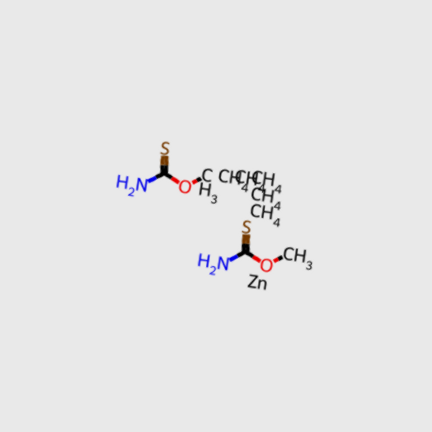 C.C.C.C.C.COC(N)=S.COC(N)=S.[Zn]